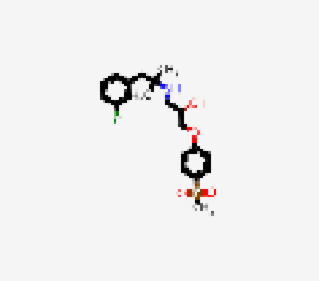 CC(C)(Cc1cccc(Cl)c1)NC[C@@H](O)COc1ccc(S(C)(=O)=O)cc1